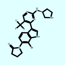 O=C1CCCN1c1ccc2c(-c3nc(N[C@H]4CCNC4)ncc3C(F)(F)F)c[nH]c2c1Br